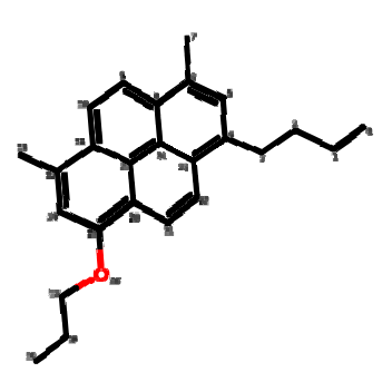 CCCCc1cc(C)c2ccc3c(C)cc(OCCC)c4ccc1c2c34